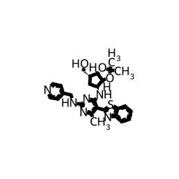 Cc1nc(NCc2ccncc2)nc(N[C@@H]2C[C@H](CO)[C@H]3OC(C)(C)O[C@H]32)c1-c1nc2ccccc2s1